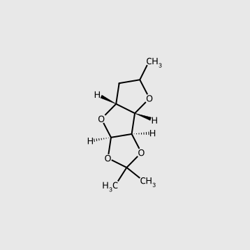 CC1C[C@H]2O[C@@H]3OC(C)(C)O[C@@H]3[C@H]2O1